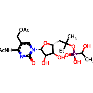 CCC(C)(C[C@H]1O[C@@H](n2cc(COC(C)=O)c(NC(C)=O)nc2=O)[C@H](O)[C@@H]1O)OP(=O)(O)C(C)O